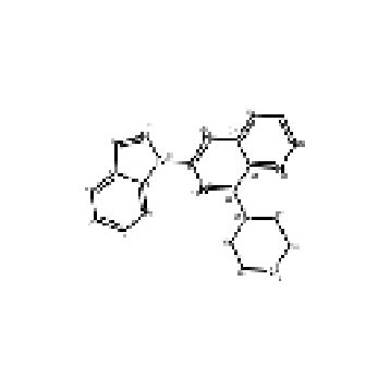 c1ccc2c(c1)cnn2-c1nc(N2CCOCC2)c2ncccc2n1